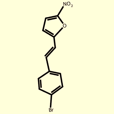 O=[N+]([O-])c1ccc(/C=C/c2ccc(Br)cc2)o1